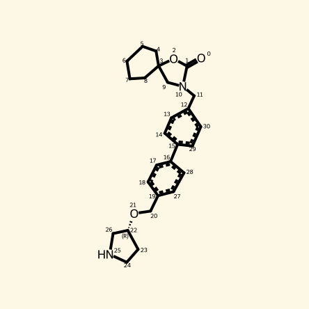 O=C1OC2(CCCCC2)CN1Cc1ccc(-c2ccc(CO[C@@H]3CCNC3)cc2)cc1